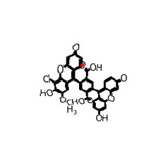 COc1cc2c(-c3cc(C(=O)O)c(-c4c5ccc(=O)cc-5oc5cc(O)ccc45)cc3C(=O)O)c3ccc(=O)cc-3oc2c(Cl)c1O